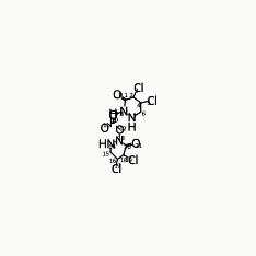 O=C1C(Cl)C(Cl)CNN1O[PH](=O)ON1NCC(Cl)C(Cl)C1=O